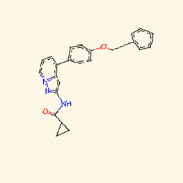 O=C(Nc1cc2c(-c3ccc(OCc4ccccc4)cc3)cccn2n1)C1CC1